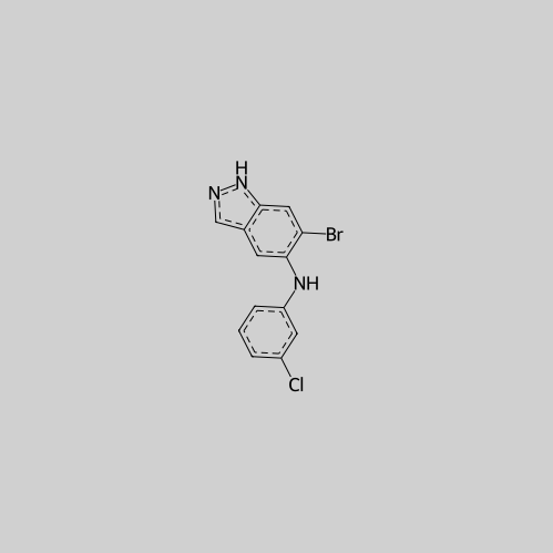 Clc1cccc(Nc2cc3cn[nH]c3cc2Br)c1